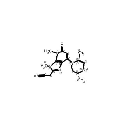 C[C@@H]1CN(c2cc(=O)n(C)c3c2nc(CC#N)n3C)[C@@H](C)CN1